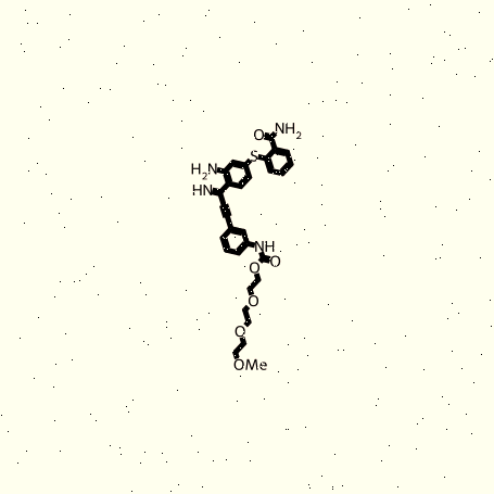 COCCOCCOCCOC(=O)Nc1cccc(C#CC(=N)c2ccc(Sc3ccccc3C(N)=O)cc2N)c1